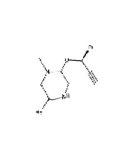 C#C[C@H](CC)OC1CNC(S)CN1C